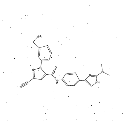 CN(C)c1nc(-c2ccc(NC(=O)c3cc(C#N)nn3-c3cccc(CN)c3)cc2)c[nH]1